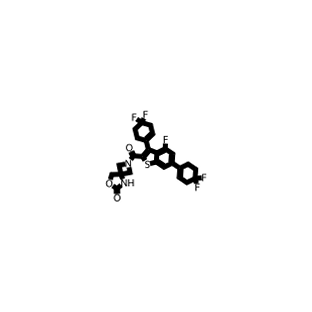 O=C1NC2(CO1)CN(C(=O)c1sc3cc(C4=CCC(F)(F)CC4)cc(F)c3c1C1=CCC(F)(F)CC1)C2